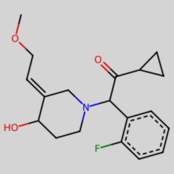 COCC=C1CN(C(C(=O)C2CC2)c2ccccc2F)CCC1O